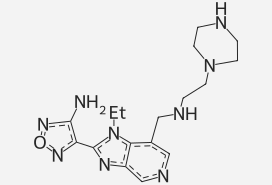 CCn1c(-c2nonc2N)nc2cncc(CNCCN3CCNCC3)c21